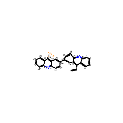 C=Cc1c2ccccc2nc2ccc(-c3ccc4nc5ccccc5c(P)c4c3)cc12